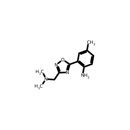 Cc1ccc(N)c(-c2nc(CN(C)C)no2)c1